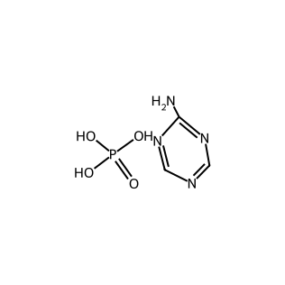 Nc1ncncn1.O=P(O)(O)O